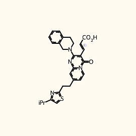 CC(C)c1csc(CCc2ccn3c(=O)c(/C=C/C(=O)O)c(N4CCc5ccccc5C4)nc3c2)n1